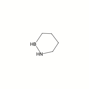 B1CCCCN1